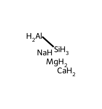 [AlH2][SiH3].[CaH2].[MgH2].[NaH]